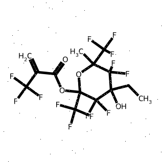 C=C(C(=O)OC1(C(F)(F)F)OC(C)(C(F)(F)F)C(F)(F)C(O)(CC)C1(F)F)C(F)(F)F